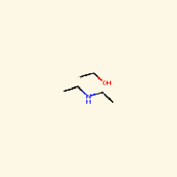 CCNCC.[CH2]CO